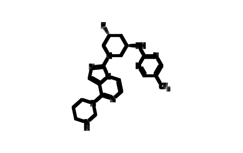 F[C@@H]1C[C@@H](Nc2ncc(C(F)(F)F)cn2)CN(c2ncc3c(N4CCCNC4)nccn23)C1